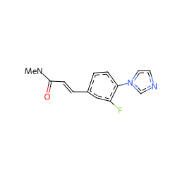 CNC(=O)C=Cc1ccc(-n2ccnc2)c(F)c1